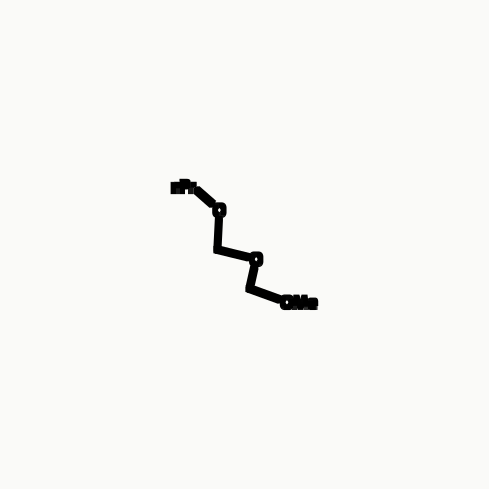 CCCOCOCOC